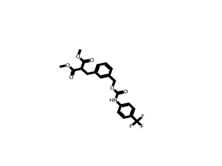 COC(=O)C(Cc1cccc(COC(=O)Nc2ccc(C(F)(F)F)cc2)c1)C(=O)OC